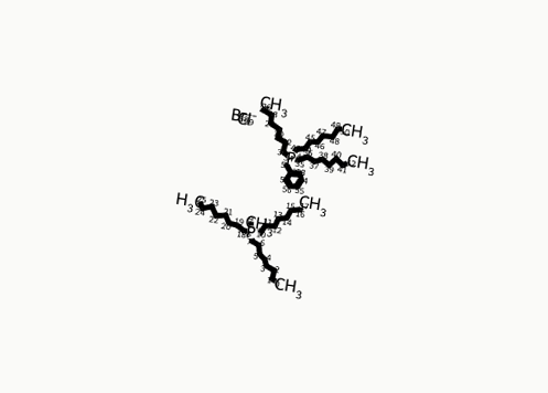 CCCCCCCC[P+](C)(CCCCCCCC)CCCCCCCC.CCCCCCCC[P+](CCCCCCCC)(CCCCCCCC)Cc1ccccc1.[Br-].[Cl-]